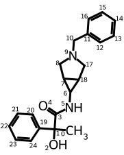 CC(O)(C(=O)NC1C2CN(Cc3ccccc3)CC21)c1ccccc1